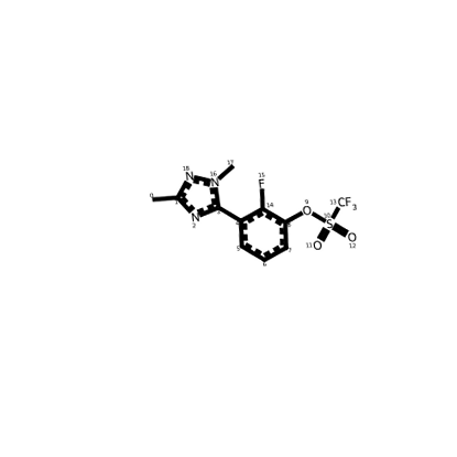 Cc1nc(-c2cccc(OS(=O)(=O)C(F)(F)F)c2F)n(C)n1